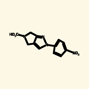 O=C(O)N1Cc2cn(-c3ccc([N+](=O)[O-])cc3)nc2C1